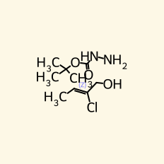 C/C=C(\Cl)CO.CC(C)(C)OC(=O)NN